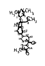 CCc1c(-c2cc(C)nc(C)c2)[nH]c2ccc(C3CCN(C(=O)C4CC(=O)N(C)C4)CC3)cc12